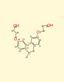 CC(Cc1ccc(OCCO)cc1)c1ccc(OCCO)cc1